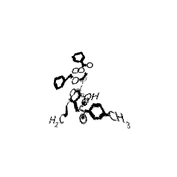 C=CC[C@@H]1O[C@H](C[C@@H](COC(=O)c2ccccc2)OC(=O)c2ccccc2)[C@H](O)C1=CS(=O)(=O)c1ccc(C)cc1